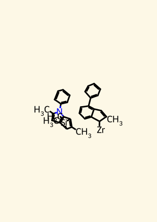 CC1=C2c3c(cc(C)n3-c3ccccc3)C1[Si]2(C)C.CC1=Cc2c(-c3ccccc3)cccc2[CH]1[Zr]